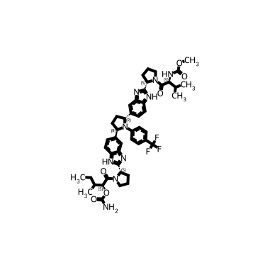 CCC(C)[C@H](OC(N)=O)C(=O)N1CCC[C@H]1c1nc2cc([C@H]3CC[C@H](c4ccc5[nH]c([C@@H]6CCCN6C(=O)[C@@H](NC(=O)OC)C(C)C)nc5c4)N3c3ccc(C(F)(F)F)cc3)ccc2[nH]1